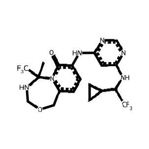 CC1(C(F)(F)F)NCOCc2ccc(Nc3cc(NC(C4CC4)C(F)(F)F)ncn3)c(=O)n21